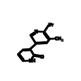 Cc1cc(-c2ccc[nH]c2=O)cnc1C(C)C